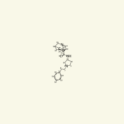 O=C(NC1CCN(CCc2ccccc2)C1)N1CC2CC3CC1CN(C3)C2